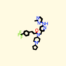 Cc1nccc(Nc2ccc(CN(C(=O)C=Cc3ccc(C(F)(F)F)cc3)C3CCN(C4CCCC4)CC3)cn2)n1